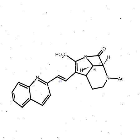 CC(=O)N1CCC2C(/C=C/c3ccc4ccccc4n3)=C(C(=O)O)N3C(=O)[C@@H]1[C@@H]23